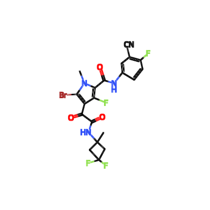 Cn1c(Br)c(C(=O)C(=O)NC2(C)CC(F)(F)C2)c(F)c1C(=O)Nc1ccc(F)c(C#N)c1